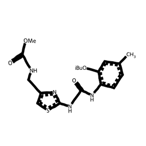 COC(=O)NCc1csc(NC(=O)Nc2ccc(C)cc2OCC(C)C)n1